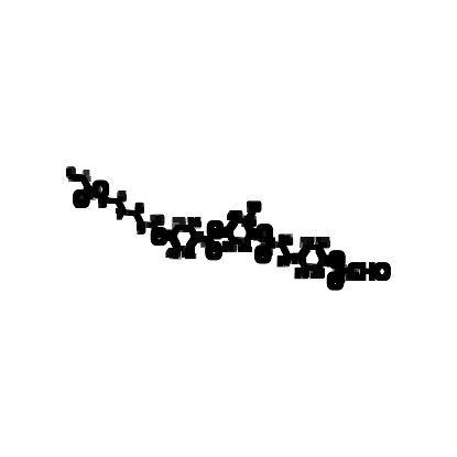 C=CC(=O)OCCCCCCOc1ccc(C(=O)Oc2ccc(OC(=O)CCc3ccc(OC(=O)C=O)cc3)c(C)c2)cc1